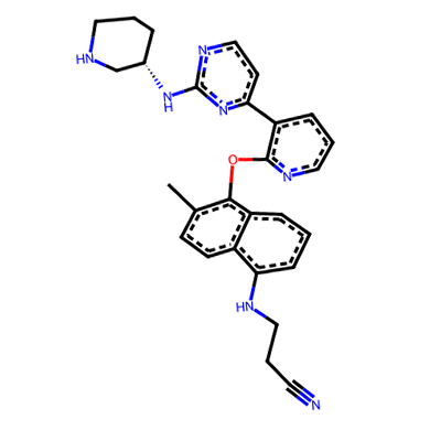 Cc1ccc2c(NCCC#N)cccc2c1Oc1ncccc1-c1ccnc(N[C@H]2CCCNC2)n1